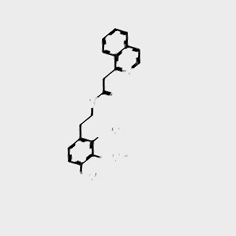 COc1ccc(CCNC(=O)Cc2nccc3ccccc23)c(OC)c1OC